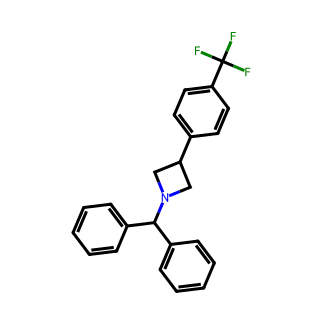 FC(F)(F)c1ccc(C2CN(C(c3ccccc3)c3ccccc3)C2)cc1